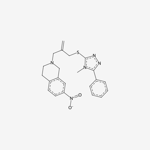 C=C(CSc1nnc(-c2ccccc2)n1C)CN1CCc2ccc([N+](=O)[O-])cc2C1